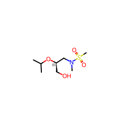 CC(C)O[C@H](CO)CN(C)S(C)(=O)=O